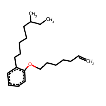 C=CCCCCCOc1c[c]ccc1CCCCCC(C)CC